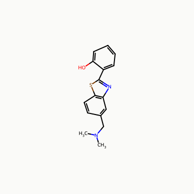 CN(C)Cc1ccc2sc(-c3ccccc3O)nc2c1